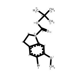 COc1cc2c(cc1Br)CCN2C(=O)OC(C)(C)C